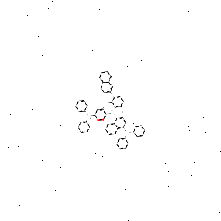 c1ccc(N(c2ccccc2)c2cc3c(c4ccccc24)B2c4c(ccc(-c5ccc6ccccc6c5)c4Oc4cc(N(c5ccccc5)c5ccccc5)c5ccccc5c42)O3)cc1